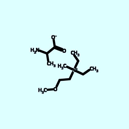 CC(N)C(=O)[O-].CC[N+](C)(CC)CCOC